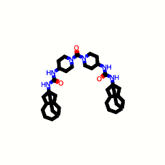 O=C(NC1CCN(C(=O)N2CCC(NC(=O)NC34CC5CCCC(C3)C(C5)C4)CC2)CC1)NC12CC3CCCC(C1)C(C3)C2